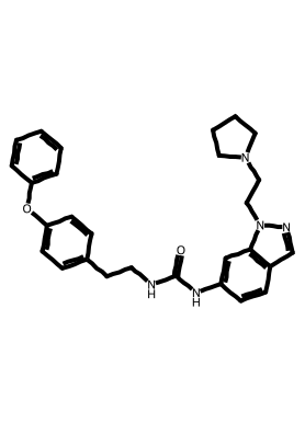 O=C(NCCc1ccc(Oc2ccccc2)cc1)Nc1ccc2cnn(CCN3CCCC3)c2c1